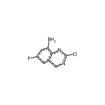 Bc1cc(F)cc2cnc(Cl)nc12